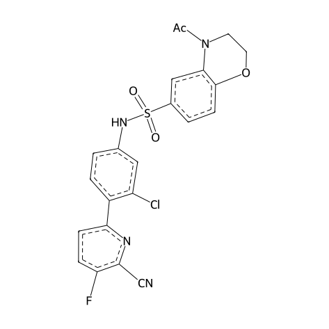 CC(=O)N1CCOc2ccc(S(=O)(=O)Nc3ccc(-c4ccc(F)c(C#N)n4)c(Cl)c3)cc21